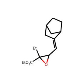 CCOC(=O)C1(CC)OC1C=C1CC2CCC1C2